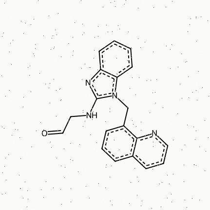 O=CCNc1nc2ccccc2n1Cc1cccc2cccnc12